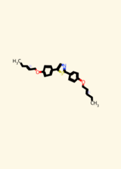 CC/C=C/COc1ccc(-c2cnc(-c3ccc(OC/C=C/CC)cc3)s2)cc1